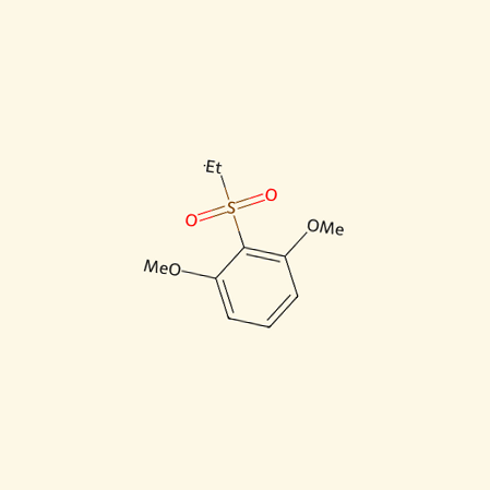 C[CH]S(=O)(=O)c1c(OC)cccc1OC